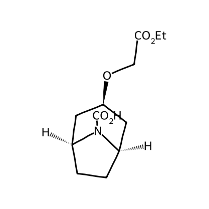 CCOC(=O)CO[C@H]1C[C@H]2CC[C@@H](C1)N2C(=O)O